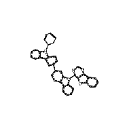 C1=CCC(n2c3ccccc3c3cc(-c4ccc5c6ccccc6n(-c6ncnc7c6oc6ccccc67)c5c4)ccc32)C=C1